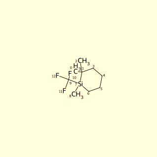 CC1(C)CCCC[Si]1(C)C(F)(F)F